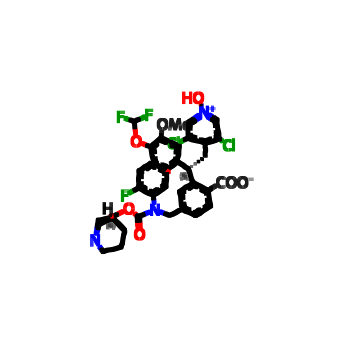 COc1cc([C@H](Cc2c(Cl)c[n+](O)cc2Cl)c2cc(CN(C(=O)O[C@H]3CN4CCC3CC4)c3ccccc3F)ccc2C(=O)[O-])ccc1OC(F)F